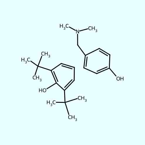 CC(C)(C)c1cccc(C(C)(C)C)c1O.CN(C)Cc1ccc(O)cc1